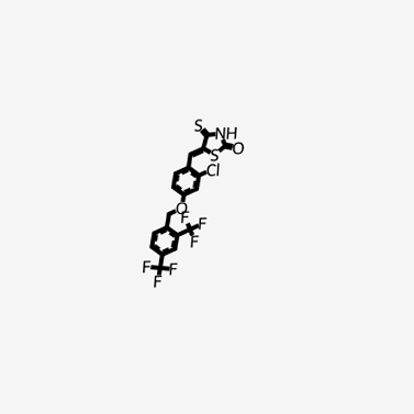 O=C1NC(=S)C(=Cc2ccc(OCc3ccc(C(F)(F)F)cc3C(F)(F)F)cc2Cl)S1